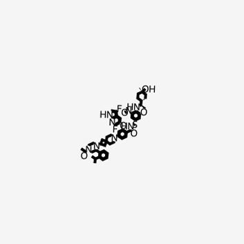 CC(=O)N1CCN(C2CC3(CCN(c4ccc(C(=O)NSc5cc(N=O)c6c(c5)OC[C@H]([C@H]5CC[C@](C)(O)CC5)N6)c(Oc5cc6c(F)c[nH]c6nc5F)c4)CC3)C2)C(c2ccccc2C(C)C)C1